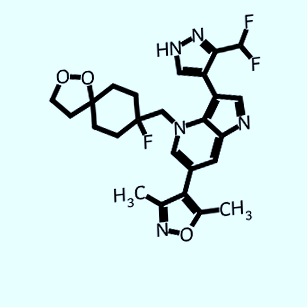 Cc1noc(C)c1-c1cc2ncc(-c3c[nH]nc3C(F)F)c-2n(CC2(F)CCC3(CCOO3)CC2)c1